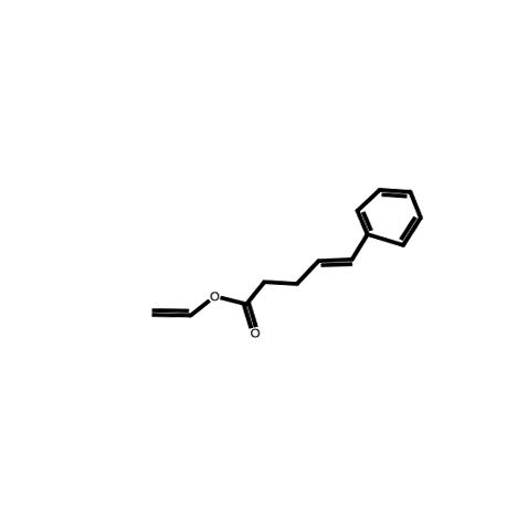 C=COC(=O)CCC=Cc1ccccc1